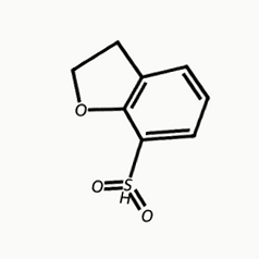 O=[SH](=O)c1cccc2c1OCC2